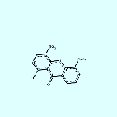 COc1cccc2c(=O)c3c(Cl)ccc([N+](=O)[O-])c3sc12